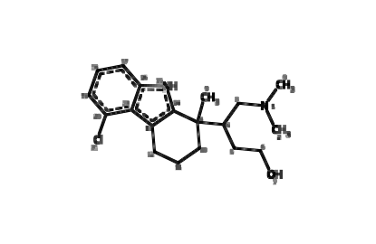 CN(C)CC(CCO)C1(C)CCCc2c1[nH]c1cccc(Cl)c21